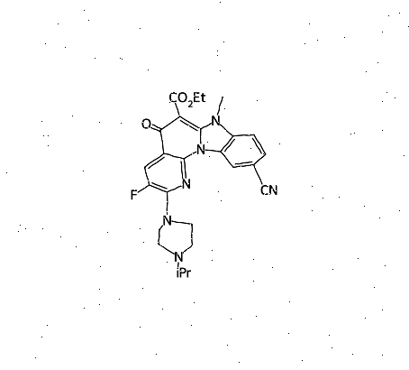 CCOC(=O)c1c(=O)c2cc(F)c(N3CCN(C(C)C)CC3)nc2n2c3cc(C#N)ccc3n(C)c12